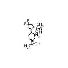 CB(O)N1CCC(N2CC(F)(F)C[C@@H]2C(C)(C)O)CC1